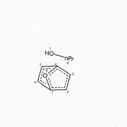 CCCO.c1cc2ccc1o2